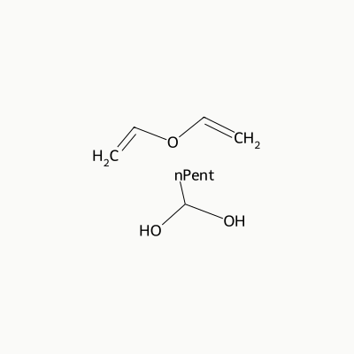 C=COC=C.CCCCCC(O)O